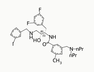 CCCN(CCC)Cc1cc(C)cc(C(=O)N[C@@H](Cc2cc(F)cc(F)c2)[C@H](O)CNCc2cccc(I)c2)c1